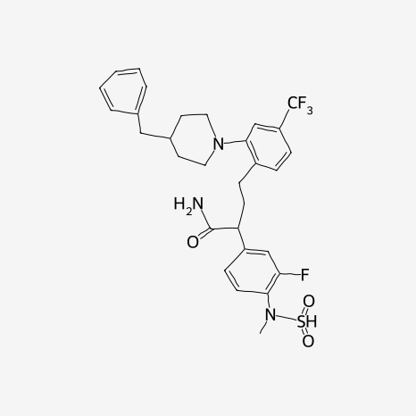 CN(c1ccc(C(CCc2ccc(C(F)(F)F)cc2N2CCC(Cc3ccccc3)CC2)C(N)=O)cc1F)[SH](=O)=O